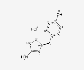 Cl.NC1=N[C@H](Cc2ccc(O)cc2)CS1